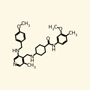 COc1ccc(CNc2cncc(C)c2CNC2CCC(C(=O)Nc3ccc(C)c(OC)c3)CC2)cc1